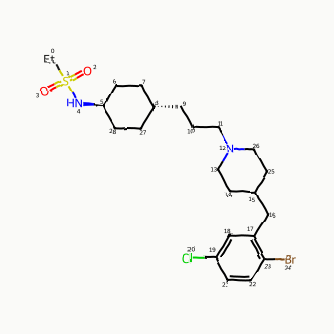 CCS(=O)(=O)N[C@H]1CC[C@H](CCCN2CCC(Cc3cc(Cl)ccc3Br)CC2)CC1